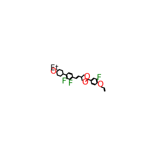 C=CCOc1ccc(C2OCC(/C=C/c3ccc(C4CCC(OCC)CC4)c(F)c3F)CO2)cc1F